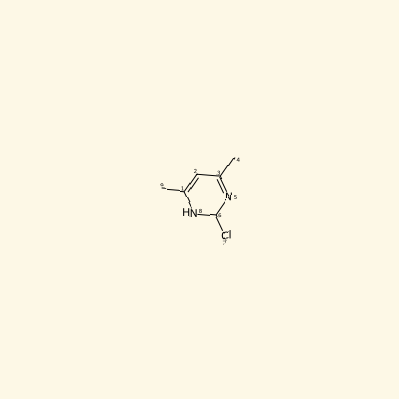 CC1=CC(C)=NC(Cl)N1